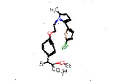 CCOC(C(=O)O)C(CC)c1ccc(OCCn2c(C)ccc2-c2ccc(Br)s2)cc1